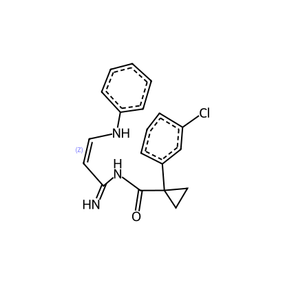 N=C(/C=C\Nc1ccccc1)NC(=O)C1(c2cccc(Cl)c2)CC1